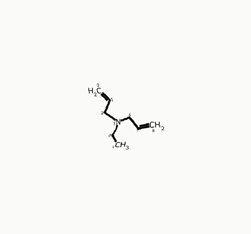 C=CCN([CH]C)CC=C